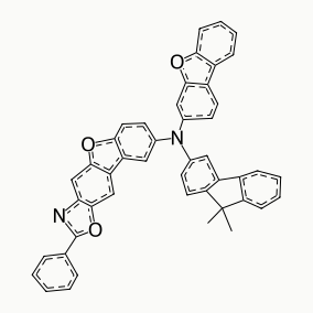 CC1(C)c2ccccc2-c2cc(N(c3ccc4c(c3)oc3ccccc34)c3ccc4oc5cc6nc(-c7ccccc7)oc6cc5c4c3)ccc21